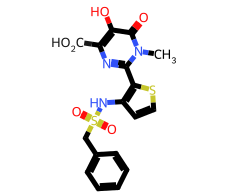 Cn1c(-c2sccc2NS(=O)(=O)Cc2ccccc2)nc(C(=O)O)c(O)c1=O